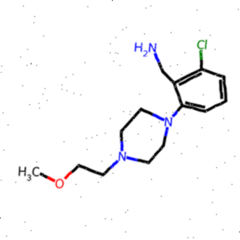 COCCN1CCN(c2cccc(Cl)c2CN)CC1